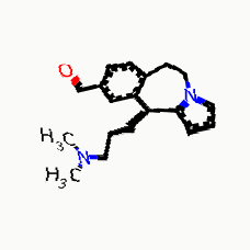 CN(C)CCC=C1c2cc(C=O)ccc2CCn2cccc21